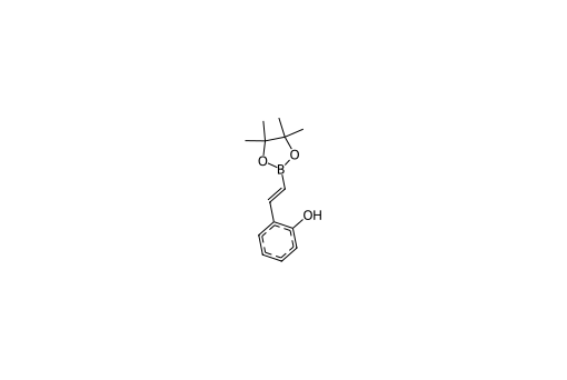 CC1(C)OB(C=Cc2ccccc2O)OC1(C)C